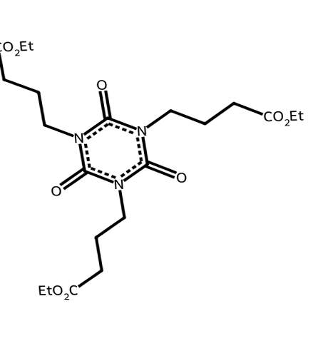 CCOC(=O)CCCn1c(=O)n(CCCC(=O)OCC)c(=O)n(CCCC(=O)OCC)c1=O